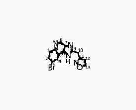 Brc1ccc2ncc3nc(Cc4ccon4)[nH]c3c2c1